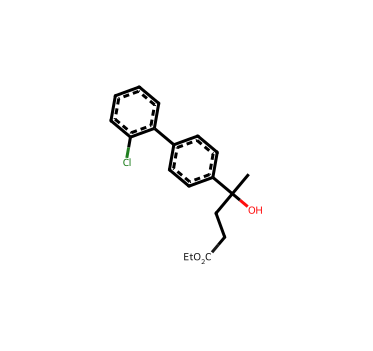 CCOC(=O)CCC(C)(O)c1ccc(-c2ccccc2Cl)cc1